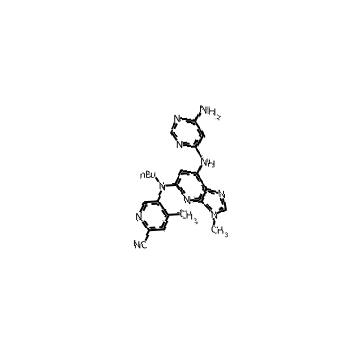 CCCCN(c1cc(Nc2cc(N)ncn2)c2ncn(C)c2n1)c1cnc(C#N)cc1C